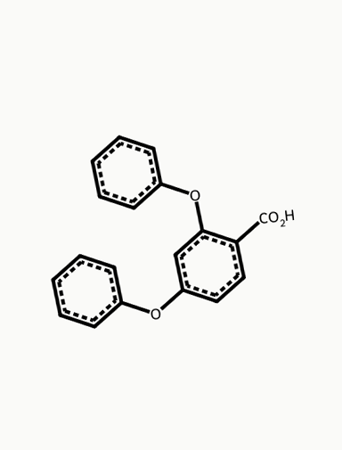 O=C(O)c1ccc(Oc2ccccc2)cc1Oc1ccccc1